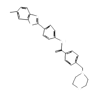 Cc1ccc2nc(-c3ccc(NC(=O)c4ccc(CN5CCOCC5)cc4)cc3)sc2c1